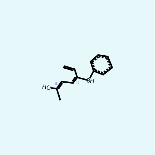 C=C/C(Bc1ccccc1)=C\C=C(/C)O